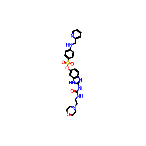 O=C(NCCN1CCOCC1)Nc1nc2ccc(OS(=O)(=O)c3ccc(NCc4ccccn4)cc3)cc2[nH]1